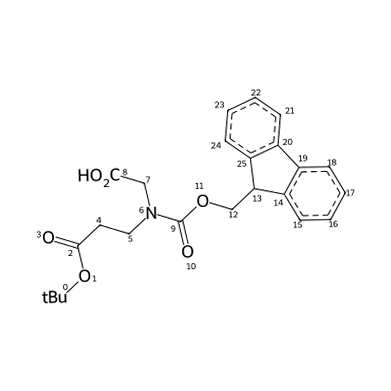 CC(C)(C)OC(=O)CCN(CC(=O)O)C(=O)OCC1c2ccccc2-c2ccccc21